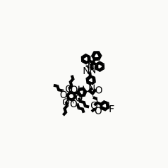 CCCCO[C@@H]1[C@@H](OCCCC)[C@H](OCCCC)C(O)(c2ccc([C@@H]3[C@@H](CC[C@H](OC(C)=O)c4ccc(F)cc4)C(=O)N3c3ccc(-c4ncn(C(c5ccccc5)(c5ccccc5)c5ccccc5)n4)cc3)cc2)[C@H](OCCCC)[C@H]1OCCCC